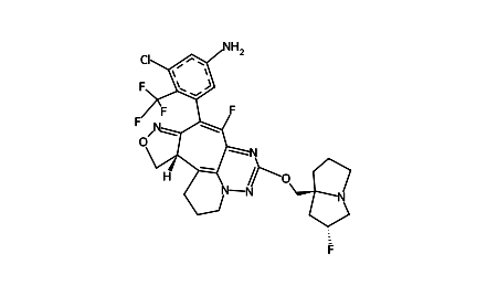 Nc1cc(Cl)c(C(F)(F)F)c(C2=C(F)C3=NC(OC[C@@]45CCCN4C[C@H](F)C5)=NN4CCCC(=C34)[C@@H]3CON=C23)c1